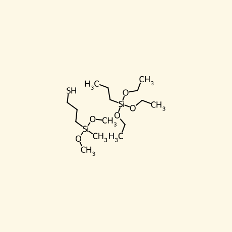 CCC[Si](OCC)(OCC)OCC.CO[Si](C)(CCCS)OC